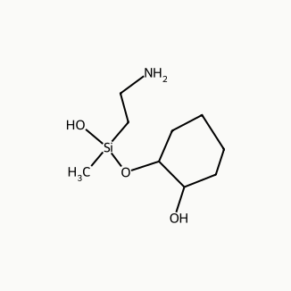 C[Si](O)(CCN)OC1CCCCC1O